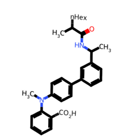 CCCCCCC(C)C(=O)NC(C)c1cccc(-c2ccc(N(C)c3ccccc3C(=O)O)cc2)c1